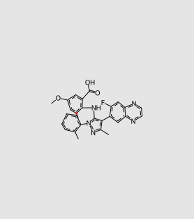 COc1cc(C)c(Nc2c(-c3cc4nccnc4cc3F)c(C)nn2-c2ccccc2C)c(C(=O)O)c1